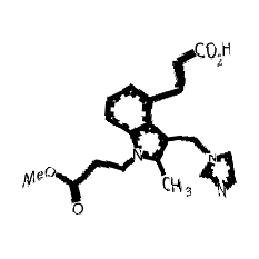 COC(=O)CCn1c(C)c(Cn2ccnc2)c2c(/C=C/C(=O)O)cccc21